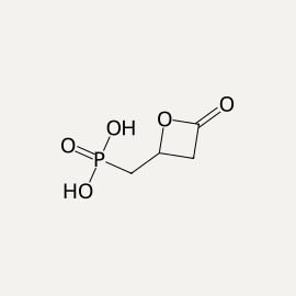 O=C1CC(CP(=O)(O)O)O1